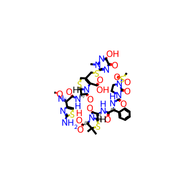 CC1(C)S[C@@H]2[C@H](NC(=O)[C@H](NC(=O)N3CCN(S(C)(=O)=O)C3=O)c3ccccc3)C(=O)N2[C@H]1C(=O)O.CO/N=C(\C(=O)N[C@@H]1C(=O)N2C(C(=O)O)=C(CSc3nc(=O)c(O)nn3C)CS[C@H]12)c1csc(N)n1